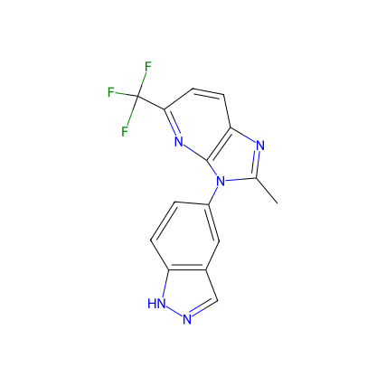 Cc1nc2ccc(C(F)(F)F)nc2n1-c1ccc2[nH]ncc2c1